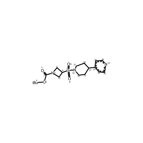 CCC(C)OC(=O)N1CC(S(=O)(=O)N2CCC(c3ccncc3)CC2)C1